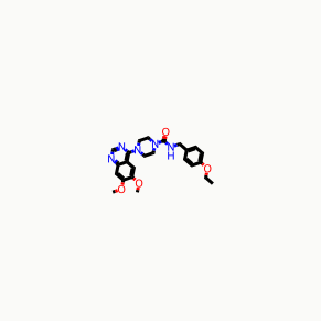 CCOc1ccc(CNC(=O)N2CCN(c3ncnc4cc(OC)c(OC)cc34)CC2)cc1